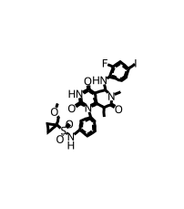 COCC1(S(=O)(=O)Nc2cccc(-n3c4c(c(=O)[nH]c3=O)C(Nc3ccc(I)cc3F)N(C)C(=O)C4C)c2)CC1